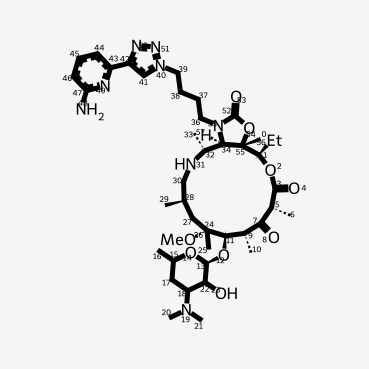 CC[C@H]1OC(=O)[C@H](C)C(=O)[C@H](C)[C@@H](O[C@@H]2OC(C)CC(N(C)C)C2O)[C@](C)(OC)C[C@@H](C)CN[C@H](C)[C@H]2N(CCCCn3cc(-c4cccc(N)n4)nn3)C(=O)O[C@]12C